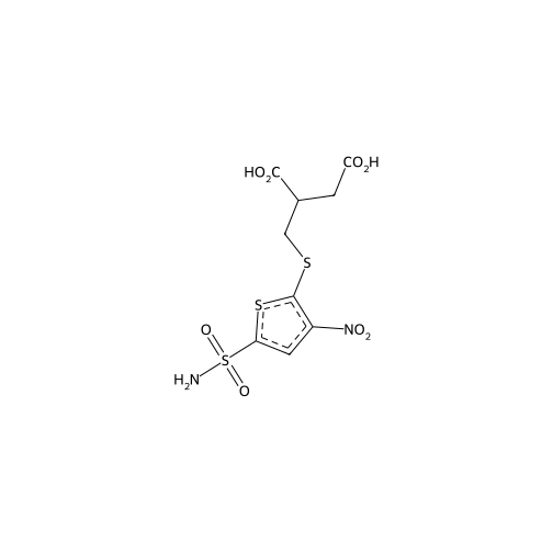 NS(=O)(=O)c1cc([N+](=O)[O-])c(SCC(CC(=O)O)C(=O)O)s1